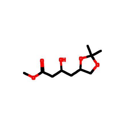 COC(=O)CC(O)CC1COC(C)(C)O1